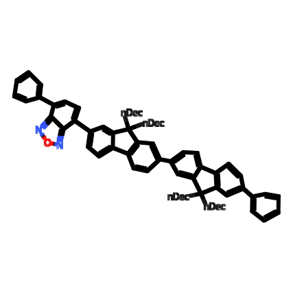 CCCCCCCCCCC1(CCCCCCCCCC)c2cc(-c3ccccc3)ccc2-c2ccc(-c3ccc4c(c3)C(CCCCCCCCCC)(CCCCCCCCCC)c3cc(-c5ccc(-c6ccccc6)c6nonc56)ccc3-4)cc21